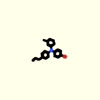 CCCc1ccc(N(c2ccc(Br)cc2)c2cccc(C)c2)cc1